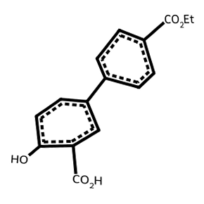 CCOC(=O)c1ccc(-c2ccc(O)c(C(=O)O)c2)cc1